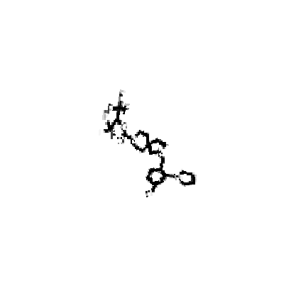 O=C(OC(C(F)(F)F)C(F)(F)F)N1CCC2(CCN(Cc3ccc(Cl)cc3N3CCCC3)C2)CC1